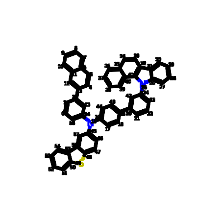 c1cc(-c2ccc3ccccc3c2)cc(N(c2ccc(-c3cccc(-n4c5ccccc5c5ccc6ccccc6c54)c3)cc2)c2ccc3sc4ccccc4c3c2)c1